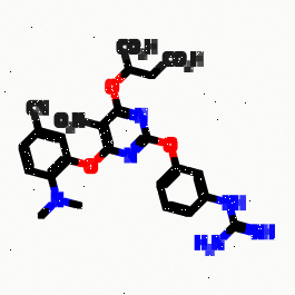 CN(C)c1ccc(C#N)cc1Oc1nc(Oc2cccc(NC(=N)N)c2)nc(OC(CC(=O)O)C(=O)O)c1[N+](=O)[O-]